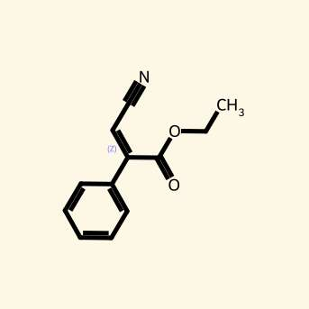 CCOC(=O)/C(=C\C#N)c1ccccc1